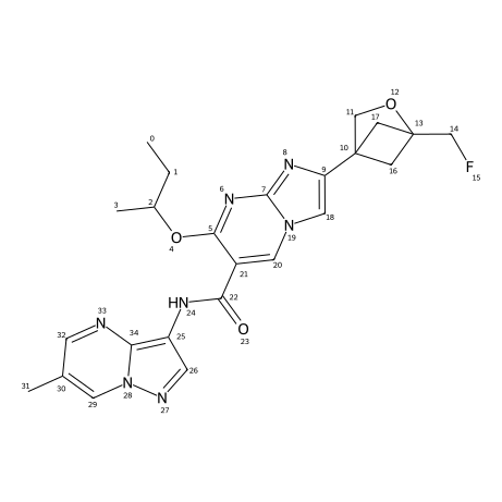 CCC(C)Oc1nc2nc(C34COC(CF)(C3)C4)cn2cc1C(=O)Nc1cnn2cc(C)cnc12